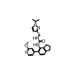 COc1cc(-c2ccc3c(c2NC(=O)NSc2ccn(C(C)C)n2)CCC3)ccn1